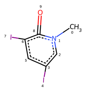 Cn1cc(I)cc(I)c1=O